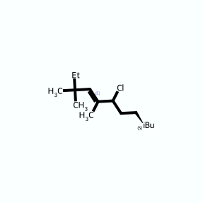 CC[C@H](C)CCC(Cl)/C(C)=C/C(C)(C)CC